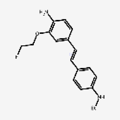 CCNc1ccc(/C=C/c2ccc(N)c(OCCF)c2)cc1